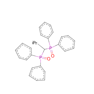 CC(C)C(P(=O)(c1ccccc1)c1ccccc1)P(=O)(c1ccccc1)c1ccccc1